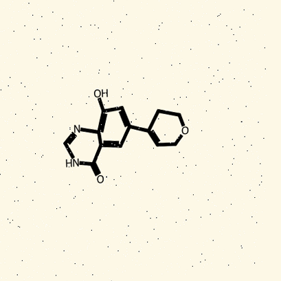 O=c1[nH]cnc2c(O)cc(C3=CCOCC3)cc12